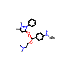 CCCCNc1ccc(C(=O)OCCN(C)C)cc1.Cc1cc(=O)n(-c2ccccc2)n1C